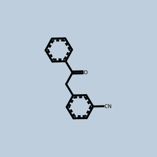 N#Cc1cccc(CC(=O)c2ccccc2)c1